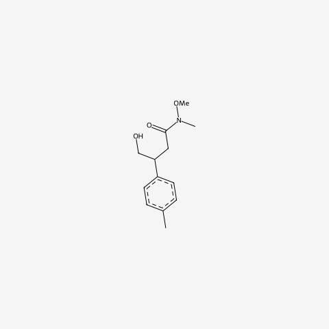 CON(C)C(=O)CC(CO)c1ccc(C)cc1